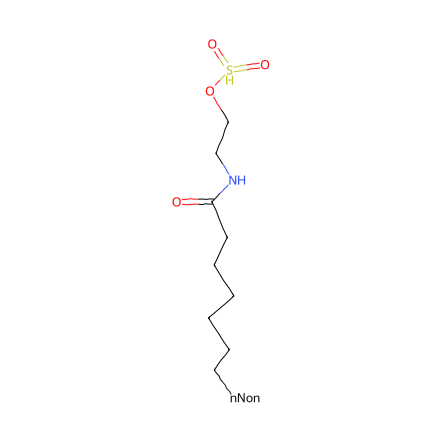 CCCCCCCCCCCCCCCC(=O)NCCO[SH](=O)=O